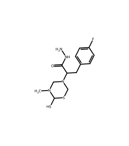 CN1CN(C(Cc2ccc(F)cc2)C(=O)NN)CSC1S